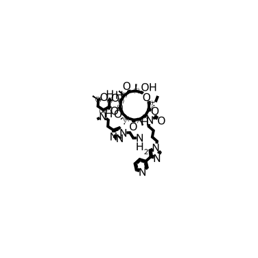 CC[C@H]1OC(O)[C@H](C)C(=O)[C@H](C)[C@H]2O[C@@H]3O[C@H](C)C[C@H](N(C)CCc4cn(CCN)nn4)[C@H]3O[C@@]2(OC)C[C@@H](C)C(=O)[C@H](C)[C@H]2N(CCCCn3cnc(-c4cccnc4)c3)C(=O)O[C@]12C